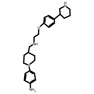 Nc1ccc(N2CCC(CNCCOc3ccc(C4CCCNC4)cc3)CC2)cc1